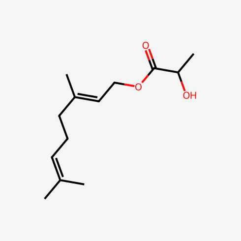 CC(C)=CCCC(C)=CCOC(=O)C(C)O